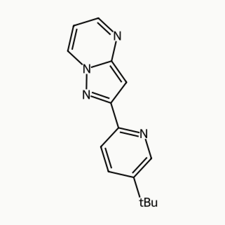 CC(C)(C)c1ccc(-c2cc3ncccn3n2)nc1